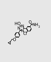 NC(=O)c1ccc(Cl)c(-c2nc(O)nc(-c3ccc(OCC4CC4)cc3)n2)c1